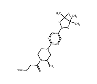 CCCCOCC(=O)N1CCN(c2ncc(B3OC(C)(C)C(C)(C)O3)cn2)C[C@H]1C